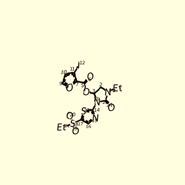 CCN1CC(OC(=O)c2occc2I)N(c2ncc(S(=O)(=O)CC)s2)C1=O